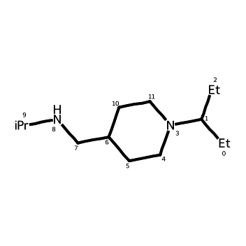 CCC(CC)N1CCC(CNC(C)C)CC1